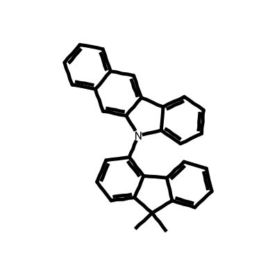 CC1(C)c2ccccc2-c2c(-n3c4ccccc4c4cc5ccccc5cc43)cccc21